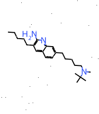 CCCCCc1cc2ccc(CCCCCN(C)C(C)(C)C)cc2nc1N